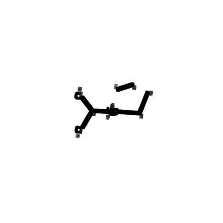 CC.CCO.ClC(Cl)Cl